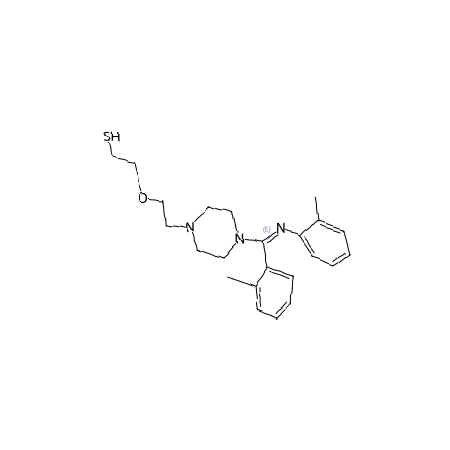 Cc1ccccc1/N=C(\c1ccccc1C)N1CCN(CCOCCS)CC1